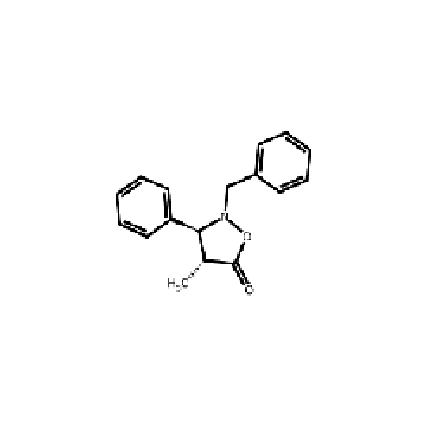 C[C@H]1C(=O)ON(Cc2ccccc2)[C@@H]1c1ccccc1